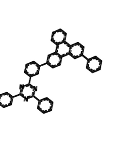 c1ccc(-c2ccc3c4ccccc4c4cc(-c5cccc(-c6nc(-c7ccccc7)nc(-c7ccccc7)n6)c5)ccc4c3c2)cc1